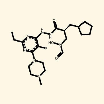 CCc1nc(NNC(=O)[C@@H](CC2CCCC2)CN(O)C=O)c(F)c(N2CCN(C)CC2)n1